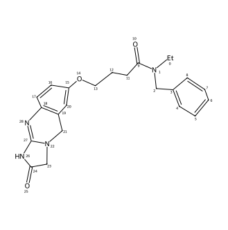 CCN(Cc1ccccc1)C(=O)CCCOc1ccc2c(c1)CN1CC(=O)NC1=N2